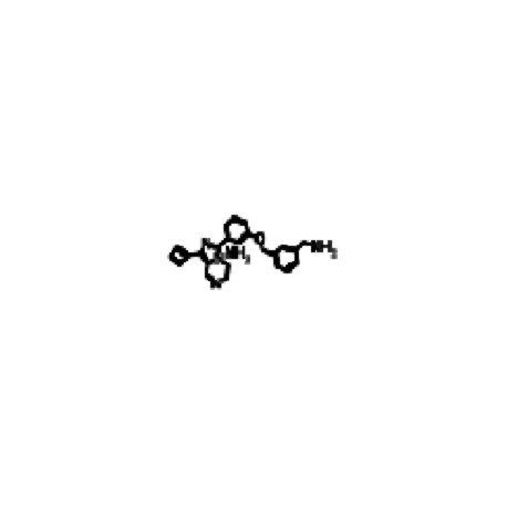 NCc1cccc(COc2cccc(C3=NC(C4=CC=C4)=C4C=NC=C[N+]34N)c2)c1